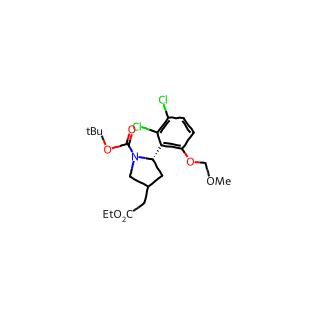 CCOC(=O)CC1C[C@@H](c2c(OCOC)ccc(Cl)c2Cl)N(C(=O)OC(C)(C)C)C1